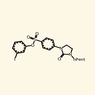 CCCCCN1CCN(c2ccc(S(=O)(=O)Oc3cccc(I)c3)cc2)C1=O